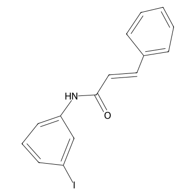 O=C(C=Cc1ccccc1)Nc1cccc(I)c1